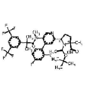 Cc1cc(F)ccc1-c1cc([C@@H]2CC[C@](C)(C(=O)O)N2C(=O)OC(C)(C)C)ncc1N(C)C(=O)C(C)(C)c1cc(C(F)(F)F)cc(C(F)(F)F)c1